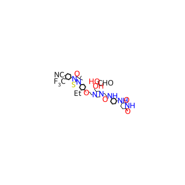 CCc1cc(N2C(=S)N(c3ccc(C#N)c(C(F)(F)F)c3)C(=O)C2(C)C)ccc1OCCN1CCN(CC(=O)Nc2cccc(NC3CCC(=O)NC3=O)c2)CC1CO.O=CO